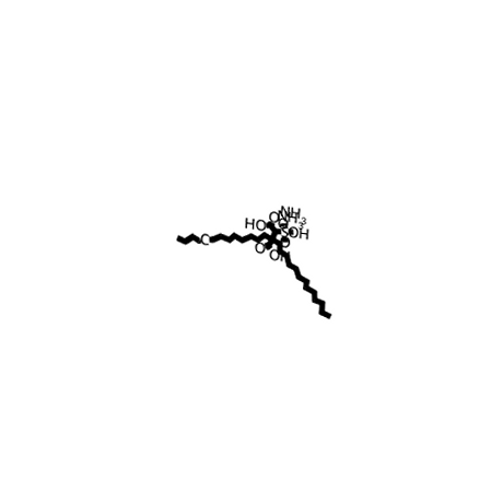 CCCCCCCCCCCCCC(CCCCCCCCCCCCC)(C(=O)O)C(C(=O)O)S(=O)(=O)O.N.N